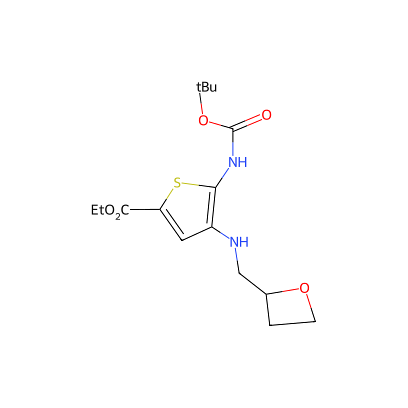 CCOC(=O)c1cc(NCC2CCO2)c(NC(=O)OC(C)(C)C)s1